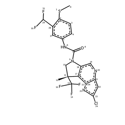 CSc1ccc(NC(=O)N2C[C@@](C)(C(F)(F)F)c3c2cnc2cc(Cl)nn32)cc1C(F)F